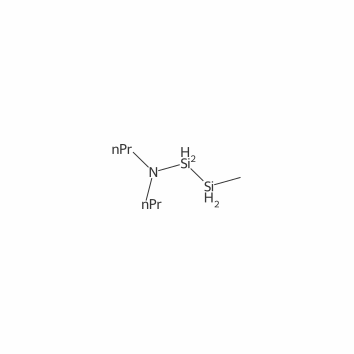 CCCN(CCC)[SiH2][SiH2]C